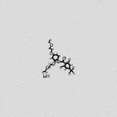 CCOCCOc1ccc(PC(=O)c2c(C)cc(C(C)(C)C)cc2C)c(OCCOCC)c1.[LiH]